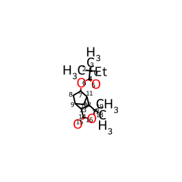 CCC(C)(C)C(=O)OC1CC2CC1C1C2C(=O)OC1(C)C